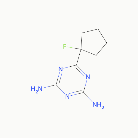 Nc1nc(N)nc(C2(F)CCCC2)n1